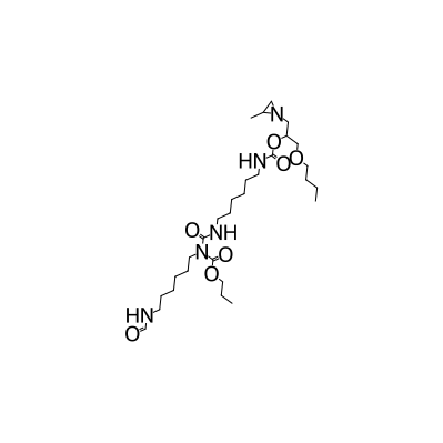 CCCCOCC(CN1CC1C)OC(=O)NCCCCCCNC(=O)N(CCCCCCNC=O)C(=O)OCCC